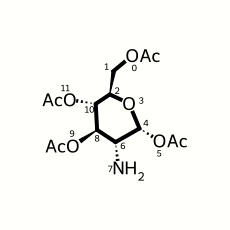 CC(=O)OC[C@H]1O[C@H](OC(C)=O)[C@H](N)[C@@H](OC(C)=O)[C@@H]1OC(C)=O